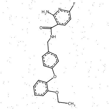 CCOc1ccccc1Oc1ccc(CNC(=O)c2ccc(F)nc2N)cc1